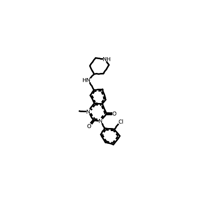 Cn1c(=O)n(-c2ccccc2Cl)c(=O)c2ccc(NC3CCNCC3)cc21